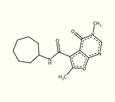 Cc1oc2ncn(C)c(=O)c2c1C(=O)NC1CCCCCC1